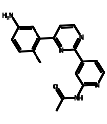 CC(=O)Nc1cc(-c2nccc(-c3cc(N)ccc3C)n2)ccn1